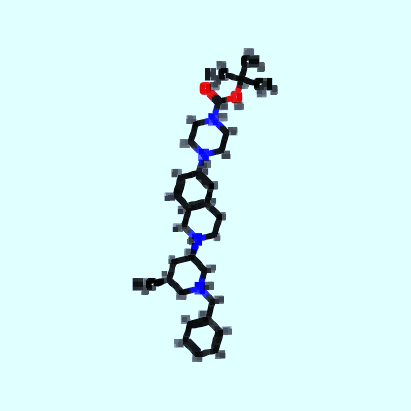 C[C@H]1C[C@@H](N2CCc3cc(N4CCN(C(=O)OC(C)(C)C)CC4)ccc3C2)CN(Cc2ccccc2)C1